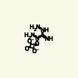 N=C(NN)N(N)O[Cl+3]([O-])([O-])[O-]